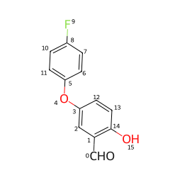 O=Cc1cc(Oc2ccc(F)cc2)ccc1O